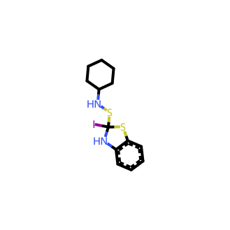 IC1(SNC2CCCCC2)Nc2ccccc2S1